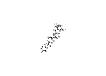 Cc1ccc(CC(=O)N2CCCN(c3cccc(C(=O)c4cc(Br)cnc4N)n3)CC2)cc1